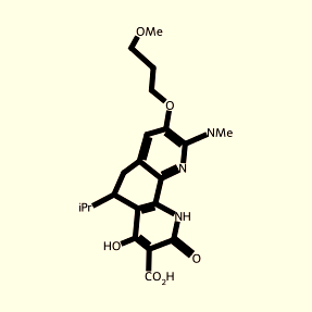 CNc1nc2c(cc1OCCCOC)CC(C(C)C)c1c-2[nH]c(=O)c(C(=O)O)c1O